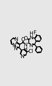 O=C(N[C@H]1N=C(c2ccccc2)c2cccc(F)c2NC1=O)c1c(-c2cncc(Cl)c2)nn2cccnc12